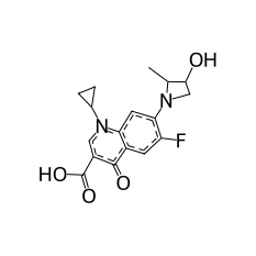 CC1C(O)CN1c1cc2c(cc1F)c(=O)c(C(=O)O)cn2C1CC1